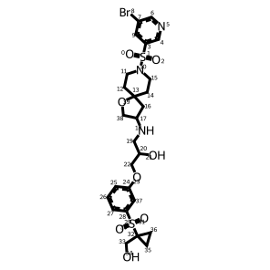 O=S(=O)(c1cncc(Br)c1)N1CCC2(CC1)CC(NCC(O)COc1cccc(S(=O)(=O)C3(CO)CC3)c1)CO2